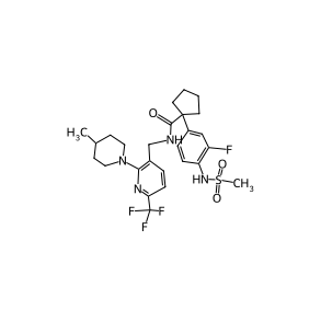 CC1CCN(c2nc(C(F)(F)F)ccc2CNC(=O)C2(c3ccc(NS(C)(=O)=O)c(F)c3)CCCC2)CC1